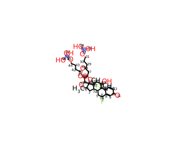 C[C@@H]1CC2C3C[C@H](F)C4=CC(=O)C=C[C@]4(C)[C@@]3(F)[C@@H](O)C[C@]2(C)[C@@]1(OC(=O)CCCCCON(O)O)C(=O)COC(=O)CCCON(O)O